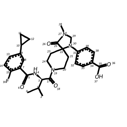 CC(C)[C@@H](NC(=O)c1cc(C2CC2)ccc1F)C(=O)N1CCC2(CC1)C(=O)N(C)CN2c1ccc(C(=O)O)cc1